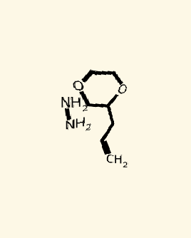 C=CCC1COCCO1.NN